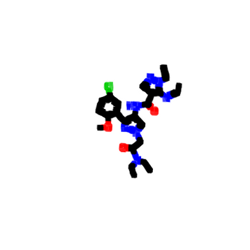 C=Cn1ncc(C(=O)Nc2cn(CC(=O)N(CC)CC)nc2-c2cc(Cl)ccc2OC)c1/N=C\C